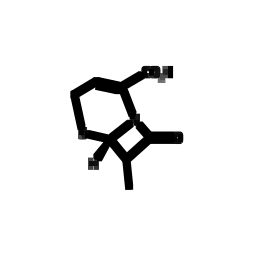 CC1C(=O)N2C(C(=O)O)=CCS[C@@H]12